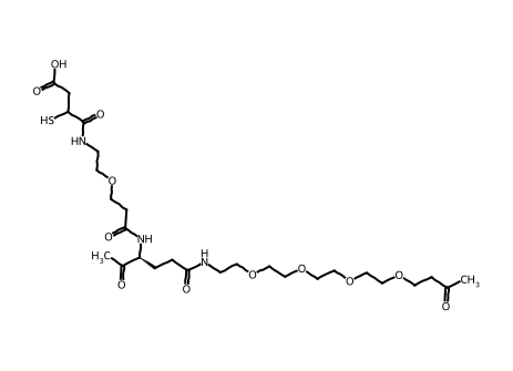 CC(=O)CCOCCOCCOCCOCCNC(=O)CC[C@H](NC(=O)CCOCCNC(=O)C(S)CC(=O)O)C(C)=O